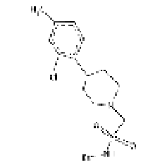 CCNS(=O)(=O)CN1CCC(c2ccc(C)cc2Cl)CC1